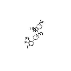 CCc1c(C2CCN(C(=O)c3n[nH]c4c3CCN(C(C)=O)C4)CC2)ccc(F)c1F